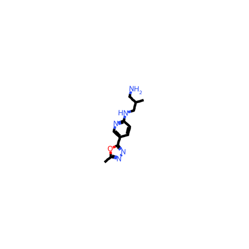 Cc1nnc(-c2ccc(NCC(C)CN)nc2)o1